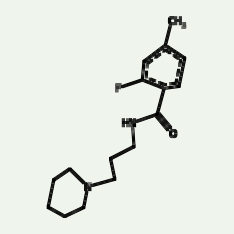 Cc1ccc(C(=O)NCCCN2CCCCC2)c(F)c1